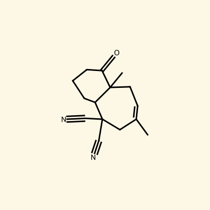 CC1=CCC2(C)C(=O)CCCC2C(C#N)(C#N)C1